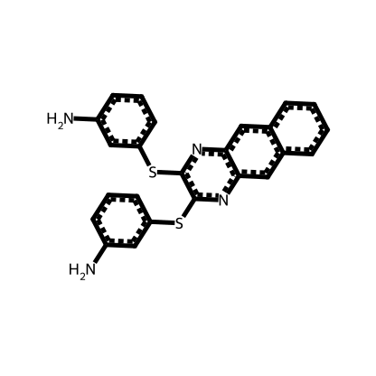 Nc1cccc(Sc2nc3cc4ccccc4cc3nc2Sc2cccc(N)c2)c1